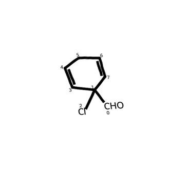 O=CC1(Cl)C=CCC=C1